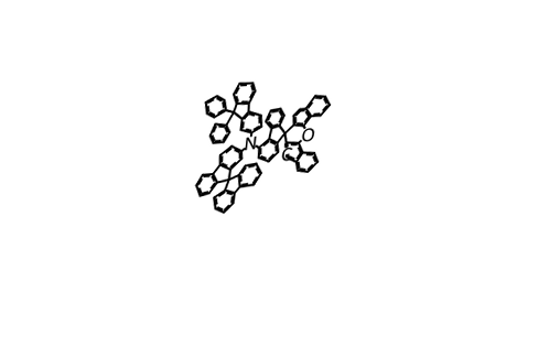 c1ccc(C2(c3ccccc3)c3ccccc3-c3ccc(N(c4ccc5c(c4)C4(c6ccccc6-c6ccccc64)c4ccccc4-5)c4cccc5c4-c4ccccc4C54c5ccc6ccccc6c5Oc5c4ccc4ccccc54)cc32)cc1